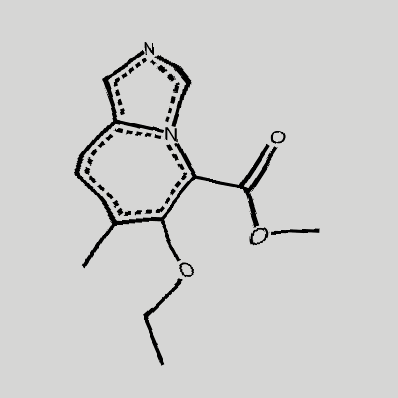 CCOc1c(C)cc2cncn2c1C(=O)OC